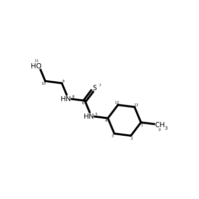 CC1CCC(NC(=S)NCCO)CC1